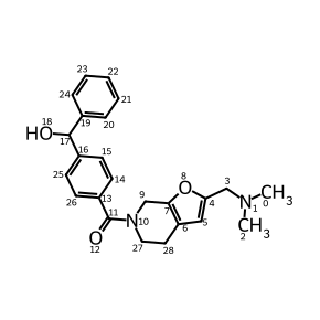 CN(C)Cc1cc2c(o1)CN(C(=O)c1ccc(C(O)c3ccccc3)cc1)CC2